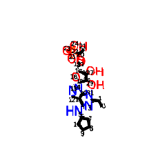 CCc1nc(NC2CCCC2)c2cnn([C@@H]3O[C@H](COC(C)P(=O)(O)O)[C@@H](O)[C@H]3O)c2n1